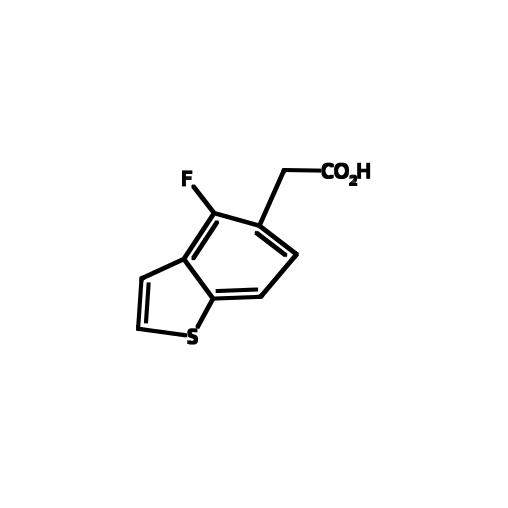 O=C(O)Cc1ccc2sccc2c1F